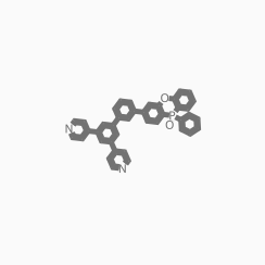 O=P1(c2ccccc2)c2ccccc2Oc2cc(-c3cccc(-c4cc(-c5ccncc5)cc(-c5ccncc5)c4)c3)ccc21